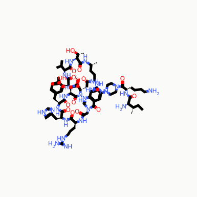 CC[C@H](C)[C@H](N)C(=O)N[C@@H](CCCCN)C(=O)N1CCN(c2ccc3ncn(CC(=O)N[C@@H](CCCNC(=N)N)C(=O)N[C@@H](Cc4c[nH]cn4)C(=O)N[C@@H](Cc4ccc(O)cc4)C(=O)N[C@@H](CC(C)C)C(=O)N[C@@H](CC(N)=O)C(=O)N[C@@H](CC(C)C)C(=O)N[C@H](C(=O)N[C@H](C(=O)N[C@H](C)CCCNC(=N)N)[C@@H](C)O)C(C)C)c(=O)c3c2)CC1